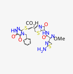 CON=C(C(=O)NC1C(=O)N2C(C(=O)O)=C(C=CSc3n[nH]c(=O)c(=O)n3Cc3ccccc3)CSC12)c1csc(N)n1